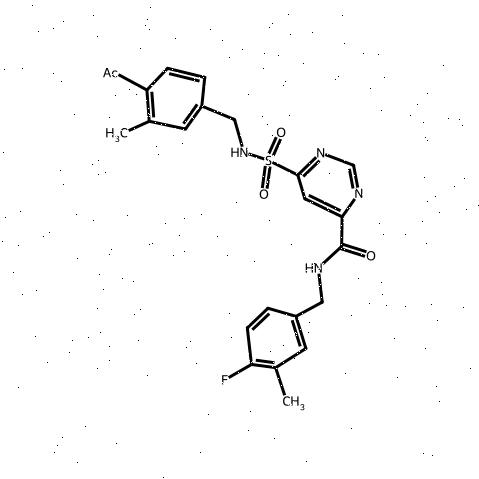 CC(=O)c1ccc(CNS(=O)(=O)c2cc(C(=O)NCc3ccc(F)c(C)c3)ncn2)cc1C